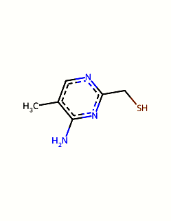 Cc1cnc(CS)nc1N